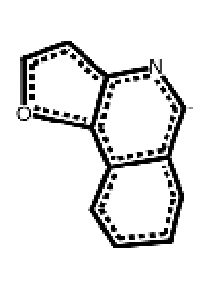 [c]1nc2ccoc2c2ccccc12